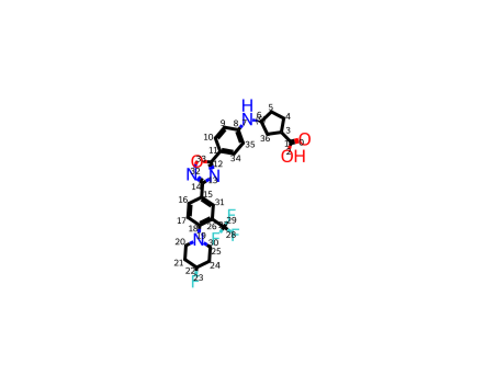 O=C(O)C1CC[C@H](Nc2ccc(-c3nc(-c4ccc(N5CCC(F)CC5)c(C(F)(F)F)c4)no3)cc2)C1